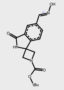 CC(C)(C)OC(=O)N1CC2(C1)NC(=O)c1cc(/C=N/O)ccc12